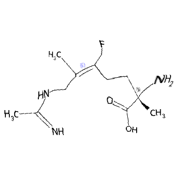 CC(=N)NC/C(C)=C(/F)CC[C@](C)(N)C(=O)O